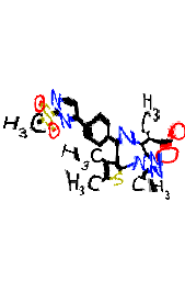 Cc1sc2c(c1C)C(c1ccc(-c3ccnc(S(C)(=O)=O)n3)cc1)=NC([C@H](C)C(=O)O)c1nnc(C)n1-2